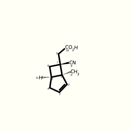 C[C@]12C=CC[C@H]1C[C@]2(C#N)CC(=O)O